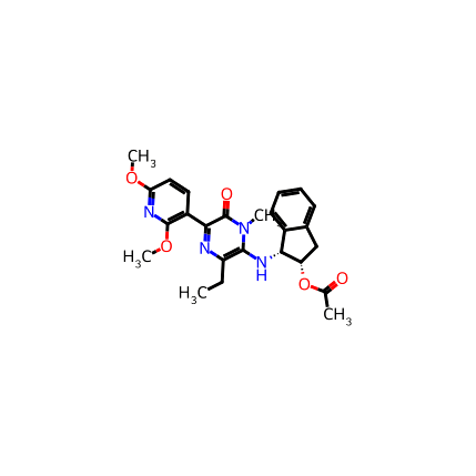 CCc1nc(-c2ccc(OC)nc2OC)c(=O)n(C)c1N[C@@H]1c2ccccc2C[C@@H]1OC(C)=O